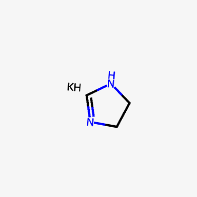 C1=NCCN1.[KH]